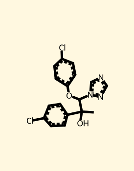 CC(O)(c1ccc(Cl)cc1)C(Oc1ccc(Cl)cc1)n1cncn1